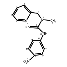 CN(Cc1ccccn1)C(=S)Nc1ccc([N+](=O)[O-])cc1